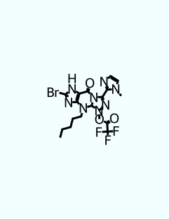 CCCCCN1c2nc(Br)[nH]c2C(=O)N2C(c3nccn3C)=NN(OC(=O)C(F)(F)F)C21